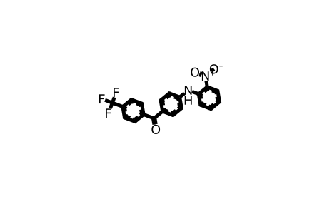 O=C(c1ccc(Nc2ccccc2[N+](=O)[O-])cc1)c1ccc(C(F)(F)F)cc1